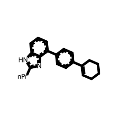 CCCc1nc2c(-c3ccc(C4=CCCCC4)cc3)cccc2[nH]1